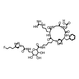 N=C(N)NCCC[C@@H]1NC(=O)[C@H](CCCCNC(=O)C2O[C@H](CNC(=O)Cn3cc(CCCF)nn3)C(O)[C@H](O)[C@@H]2O)n2cc(nn2)[C@H](Cc2ccccc2)NC(=O)[C@H](CC(=O)O)NC(=O)CNC1=O